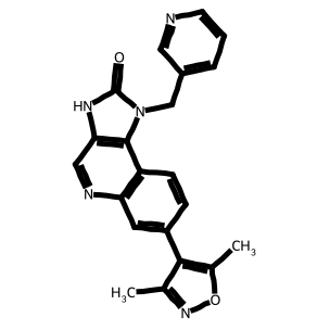 Cc1noc(C)c1-c1ccc2c(c1)ncc1[nH]c(=O)n(Cc3cccnc3)c12